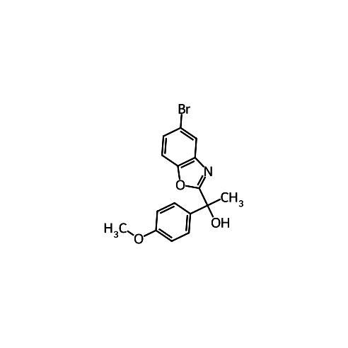 COc1ccc(C(C)(O)c2nc3cc(Br)ccc3o2)cc1